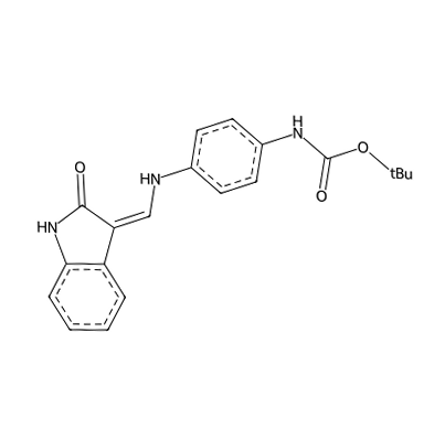 CC(C)(C)OC(=O)Nc1ccc(N/C=C2\C(=O)Nc3ccccc32)cc1